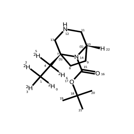 [2H]C([2H])([2H])C([2H])([2H])[C@@]12CC[C@@H](CNC1)N2C(=O)OC(C)(C)C